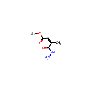 CC(=CC(=O)OC(C)(C)C)C(=O)NN